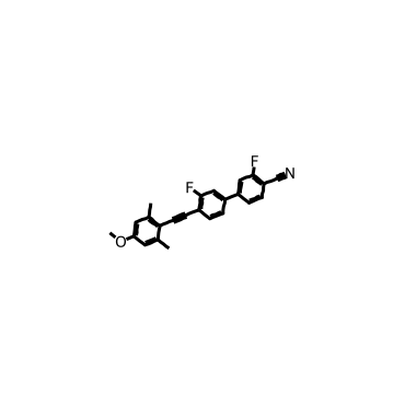 COc1cc(C)c(C#Cc2ccc(-c3ccc(C#N)c(F)c3)cc2F)c(C)c1